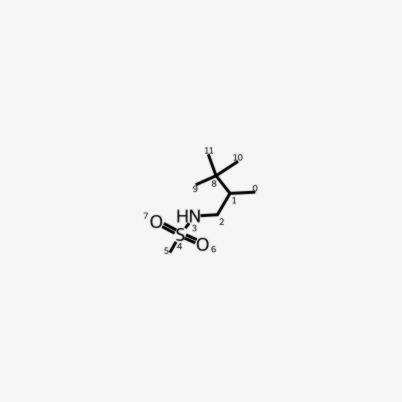 CC(CNS(C)(=O)=O)C(C)(C)C